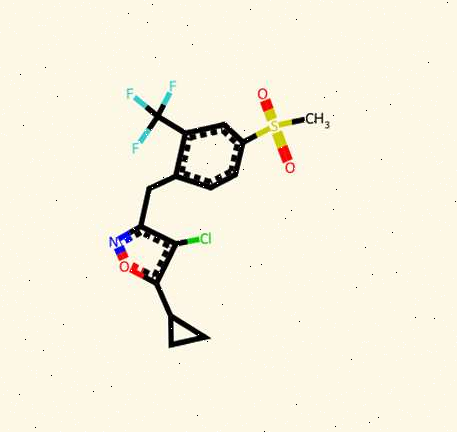 CS(=O)(=O)c1ccc(Cc2noc(C3CC3)c2Cl)c(C(F)(F)F)c1